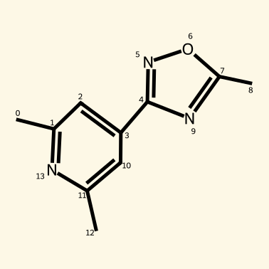 Cc1cc(-c2noc(C)n2)cc(C)n1